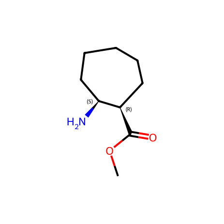 COC(=O)[C@@H]1CCCCC[C@@H]1N